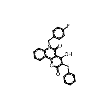 O=c1oc2c(c(O)c1Sc1ccccc1)c(=O)n(Cc1ccc(F)cc1)c1ccccc21